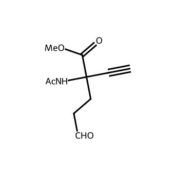 C#CC(CCC=O)(NC(C)=O)C(=O)OC